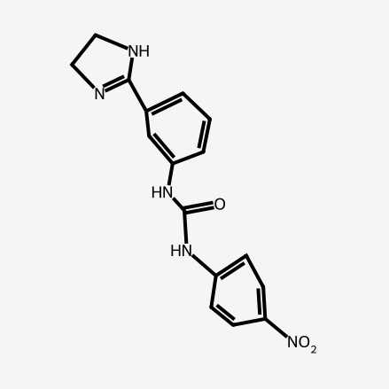 O=C(Nc1ccc([N+](=O)[O-])cc1)Nc1cccc(C2=NCCN2)c1